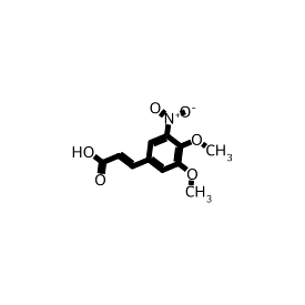 COc1cc(/C=C/C(=O)O)cc([N+](=O)[O-])c1OC